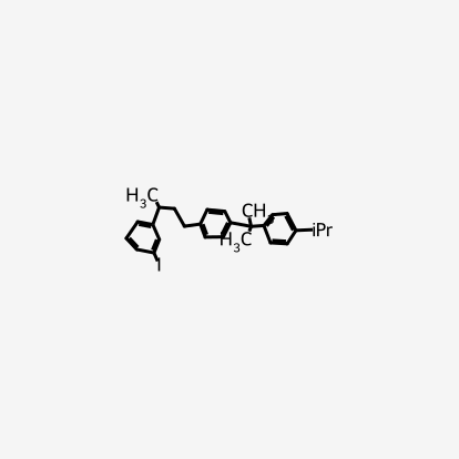 CC(C)c1ccc(C(C)(C)c2ccc(CCC(C)c3cccc(I)c3)cc2)cc1